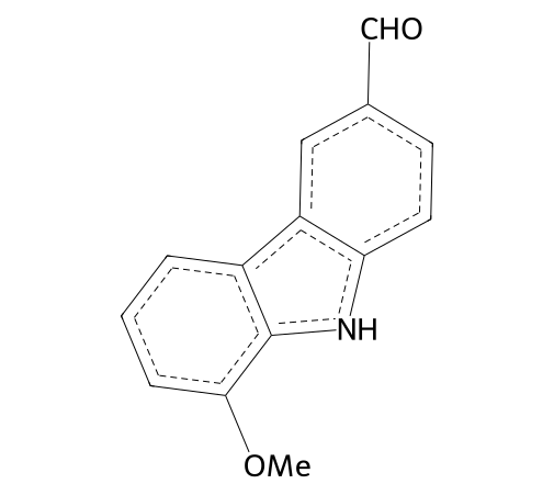 COc1cccc2c1[nH]c1ccc(C=O)cc12